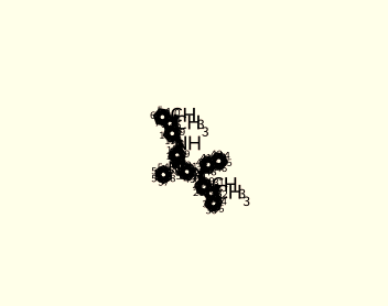 CC1(C)c2ccccc2-c2ccc(Nc3ccc4c(c3)c3cc(N(c5ccc6c(c5)C(C)(C)c5ccccc5-6)c5ccc6ccccc6c5)ccc3n4-c3ccccc3)cc21